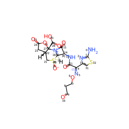 Nc1nc(/C(=N/OCCC=O)C(=O)N[C@@H]2C(=O)N3[C@@H]2[S@@+]([O-])C[C@@H]2CC(=O)O[C@@]23C(=O)O)cs1